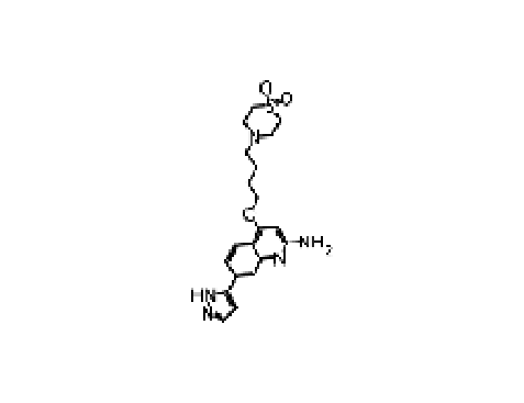 Nc1cc(OCCCCN2CCS(=O)(=O)CC2)c2ccc(-c3ccn[nH]3)cc2n1